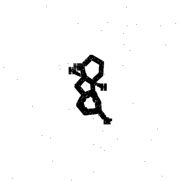 Brc1ccc2c(c1)[C@@H]1CCCN[C@@H]1C2